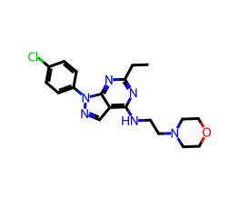 CCc1nc(NCCN2CCOCC2)c2cnn(-c3ccc(Cl)cc3)c2n1